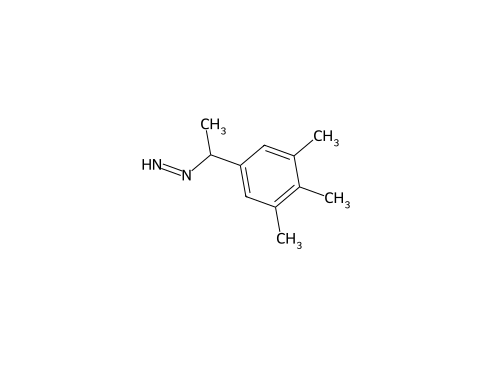 Cc1cc(C(C)N=N)cc(C)c1C